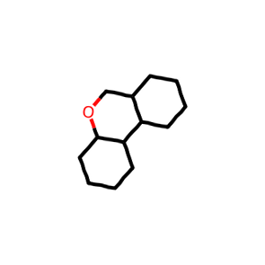 C1CCC2C(C1)COC1CCCCC12